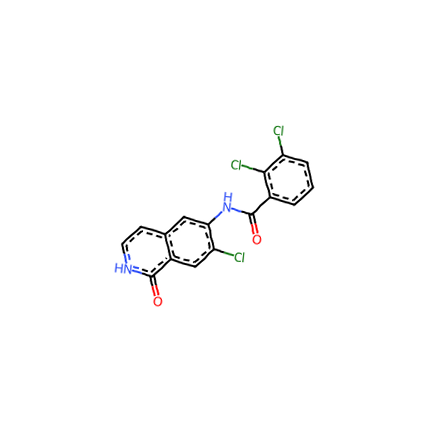 O=C(Nc1cc2cc[nH]c(=O)c2cc1Cl)c1cccc(Cl)c1Cl